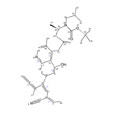 C=C=C(C)/C(=C\C(C#N)=C/C)C(C)\C=C(O)/C(C(/C)=N\C)=C(\CC(=C)C[C@@H](C)N(CC(C)C)C(=O)OC(C)(C)C)C(=C)C